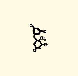 CC(C)[C@H]1OC(=O)CC(Cc2cc(Cl)cc(Cl)c2)[C@@H]1C